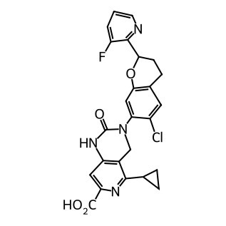 O=C(O)c1cc2c(c(C3CC3)n1)CN(c1cc3c(cc1Cl)CCC(c1ncccc1F)O3)C(=O)N2